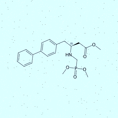 COC(=O)C[C@H](Cc1ccc(-c2ccccc2)cc1)NCP(=O)(OC)OC